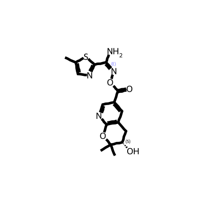 Cc1cnc(/C(N)=N\OC(=O)c2cnc3c(c2)C[C@H](O)C(C)(C)O3)s1